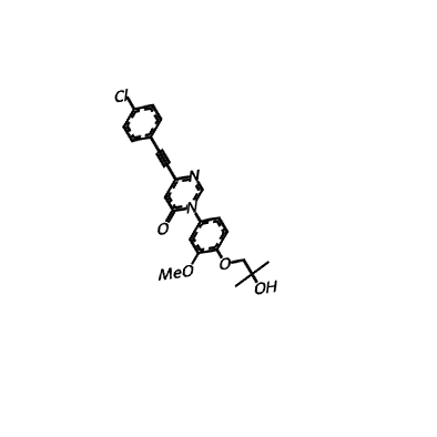 COc1cc(-n2cnc(C#Cc3ccc(Cl)cc3)cc2=O)ccc1OCC(C)(C)O